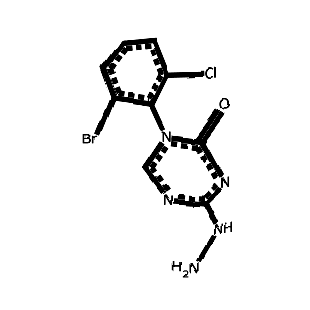 NNc1ncn(-c2c(Cl)cccc2Br)c(=O)n1